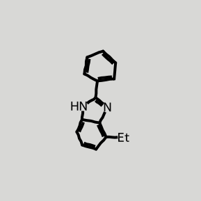 CCc1cccc2[nH]c(-c3ccccc3)nc12